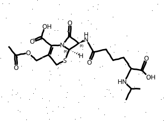 CC(=O)OCC1=C(C(=O)O)N2C(=O)[C@@H](NC(=O)CCCC(NC(C)C)C(=O)O)[C@H]2SC1